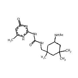 CC(=O)NC1CC(C)(C)CC(C)(CNC(=O)Nc2nc(=O)cc(C)[nH]2)C1